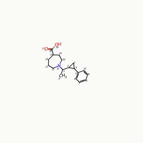 CC(C1CC1c1ccccc1)N1CCCC(C(=O)O)CC1